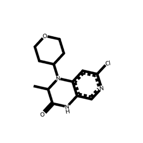 CC1C(=O)Nc2cnc(Cl)cc2N1C1CCOCC1